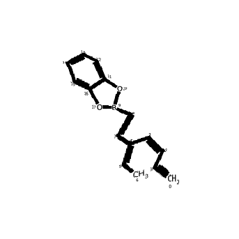 C=C\C=C/C(=C\C)/C=C/B1Oc2ccccc2O1